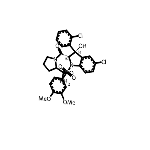 COc1ccc(S(=O)(=O)N2c3ccc(Cl)cc3[C@](O)(c3ccccc3Cl)[C@H]2C(=O)N2CCCC2C(N)=O)cc1OC